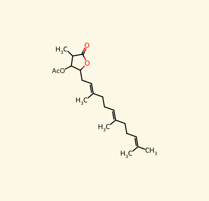 CC(=O)OC1C(C/C=C(\C)CC/C=C(\C)CCC=C(C)C)OC(=O)C1C